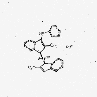 CC1=Cc2ccccc2[CH]1[Hf+2][CH]1C(C)=C(Pc2ccccc2)c2ccccc21.[F-].[F-]